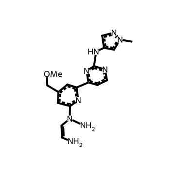 COCc1cc(-c2ccnc(Nc3cnn(C)c3)n2)nc(N(N)/C=C\N)c1